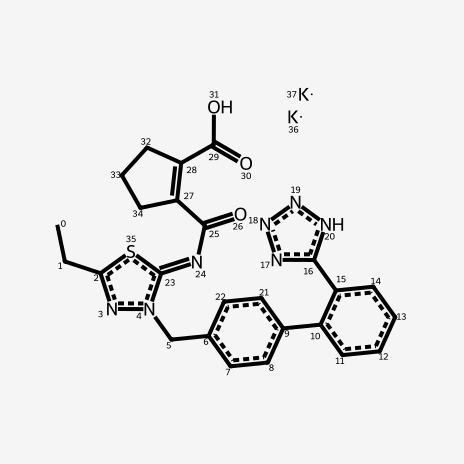 CCc1nn(Cc2ccc(-c3ccccc3-c3nnn[nH]3)cc2)c(=NC(=O)C2=C(C(=O)O)CCC2)s1.[K].[K]